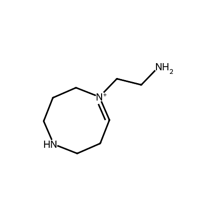 NCC/[N+]1=C/CCNCCC1